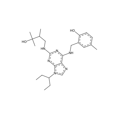 CCC(CC)n1cnc2c(NCc3cc(C)ccc3O)nc(NCC(C)C(C)(C)O)nc21